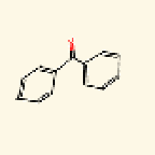 O=C(c1[c]c[c]cc1)c1ccccc1